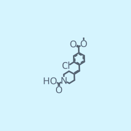 COC(=O)c1ccc(C=C2CCN(C(=O)O)CC2)c(Cl)c1